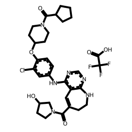 O=C(C1=Cc2c(ncnc2Nc2ccc(OC3CCN(C(=O)C4CCCC4)CC3)c(Cl)c2)NCC1)N1CCC(O)C1.O=C(O)C(F)(F)F